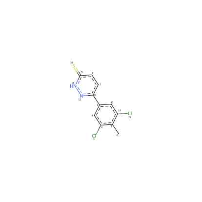 Cc1c(Cl)cc(-c2ccc(=S)[nH]n2)cc1Cl